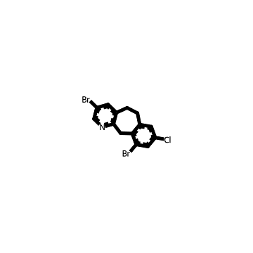 Clc1cc(Br)c2c(c1)CCc1cc(Br)cnc1C2